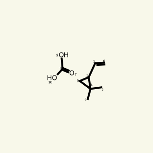 C=CC1CC1(C)C.O=C(O)O